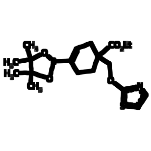 CCOC(=O)C1(COc2nccs2)CC=C(B2OC(C)(C)C(C)(C)O2)CC1